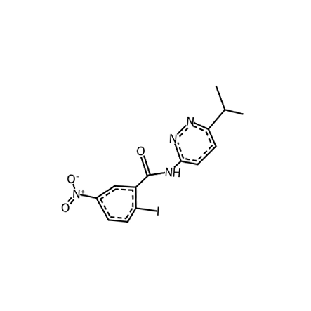 CC(C)c1ccc(NC(=O)c2cc([N+](=O)[O-])ccc2I)nn1